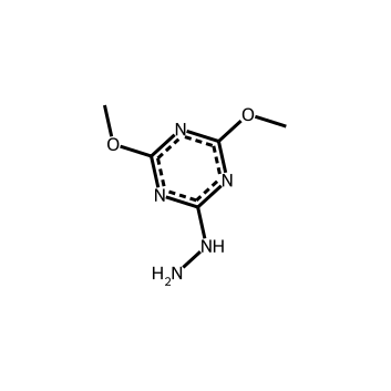 COc1nc(NN)nc(OC)n1